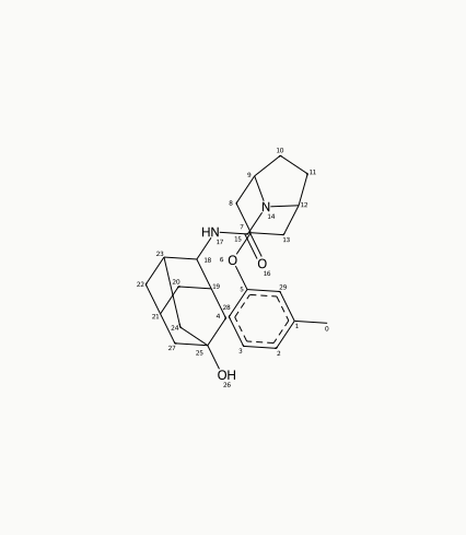 Cc1cccc(OC2CC3CCC(C2)N3C(=O)NC2C3CC4CC2CC(O)(C4)C3)c1